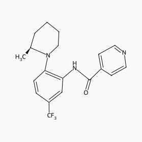 C[C@H]1CCCCN1c1ccc(C(F)(F)F)cc1NC(=O)c1ccncc1